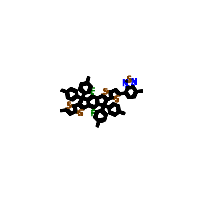 Cc1ccc(C2(c3ccc(C)cc3)c3c(F)c4c(c(F)c3-c3sc5cc(C)sc5c32)C(c2ccc(C)cc2)(c2ccc(C)cc2)c2c-4sc3cc(-c4ccc(C)c5nsnc45)sc23)cc1